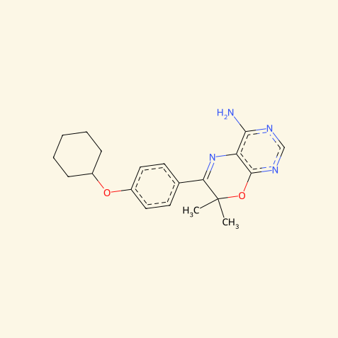 CC1(C)Oc2ncnc(N)c2N=C1c1ccc(OC2CCCCC2)cc1